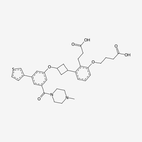 CN1CCN(C(=O)c2cc(OC3CC(c4cccc(OCCCC(=O)O)c4CCC(=O)O)C3)cc(-c3ccsc3)c2)CC1